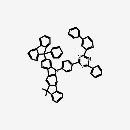 CC1(C)c2ccccc2-c2cc3c(cc21)c1ccc(C2(c4ccccc4)c4ccccc4-c4ccccc42)cc1n3-c1ccc(-c2nc(-c3ccccc3)nc(-c3cccc(-c4ccccc4)c3)n2)cc1